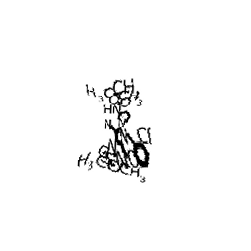 Cn1c(S(C)(=O)=O)nc2c(C#N)c(N3CCC[C@@H](NC(=O)OC(C)(C)C)C3)n(Cc3ccccc3Cl)c2c1=O